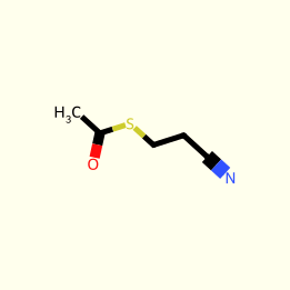 CC(=O)SCCC#N